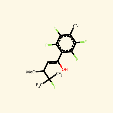 COC(/C=C(\O)c1c(F)c(F)c(C#N)c(F)c1F)C(F)(C(F)(F)F)C(F)(F)F